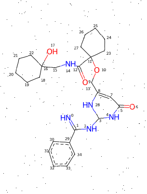 N=C(NC1NC(=O)C=C(COC2(C(=O)NCC3(O)CCCCC3)CCCCC2)N1)c1ccccc1